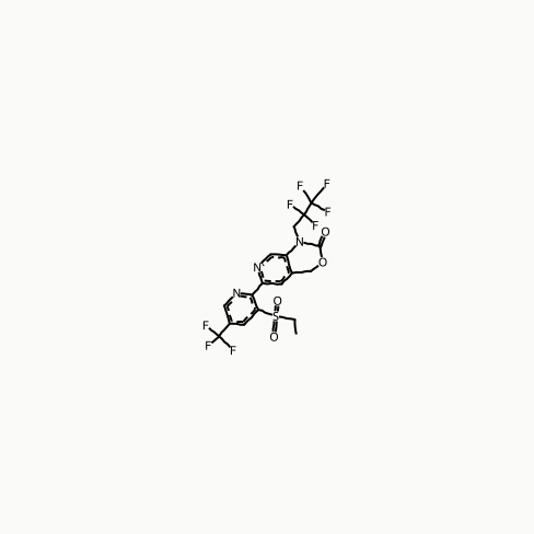 CCS(=O)(=O)c1cc(C(F)(F)F)cnc1-c1cc2c(cn1)N(CC(F)(F)C(F)(F)F)C(=O)OC2